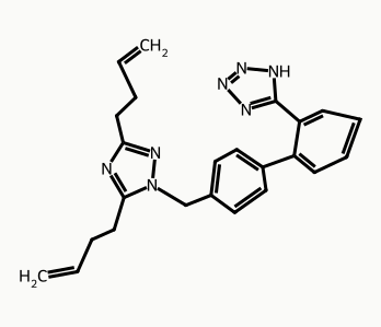 C=CCCc1nc(CCC=C)n(Cc2ccc(-c3ccccc3-c3nnn[nH]3)cc2)n1